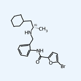 C[C@@H](CC1CCCCC1)NCc1ccccc1NC(=O)c1ccc(Br)o1